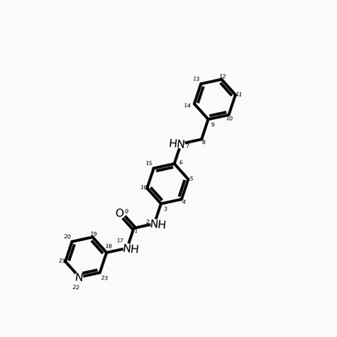 O=C(Nc1ccc(NCc2ccccc2)cc1)Nc1cccnc1